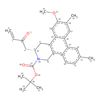 C=CC(=O)C[C@@H]1Cc2c(c3ccc(C)cc3c3cc(C)c(OC)cc23)CN1C(=O)OC(C)(C)C